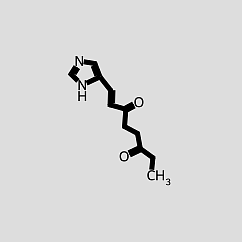 CCC(=O)CCC(=O)/C=C/c1cnc[nH]1